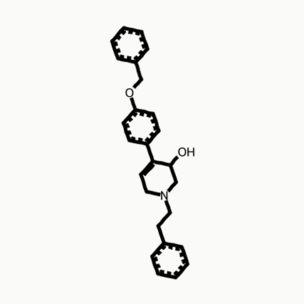 OC1CN(CCc2ccccc2)CC=C1c1ccc(OCc2ccccc2)cc1